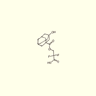 O=C(O)C(F)(F)COC(=O)C12CC3CC(CC(O)(C3)C1)C2